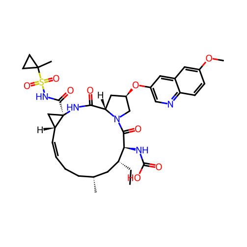 CC[C@@H]1C[C@H](C)CC/C=C\[C@@H]2C[C@@]2(C(=O)NS(=O)(=O)C2(C)CC2)NC(=O)[C@@H]2C[C@@H](Oc3cnc4ccc(OC)cc4c3)CN2C(=O)[C@H]1NC(=O)O